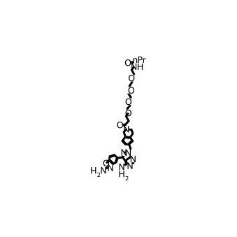 CCCC(=O)NCCOCCOCCOCCOCCC(=O)N1CCc2cc(Cn3nc(-c4ccc5oc(N)nc5c4)c4c(N)ncnc43)ccc2C1